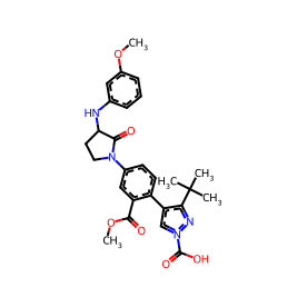 COC(=O)c1cc(N2CCC(Nc3cccc(OC)c3)C2=O)ccc1-c1cn(C(=O)O)nc1C(C)(C)C